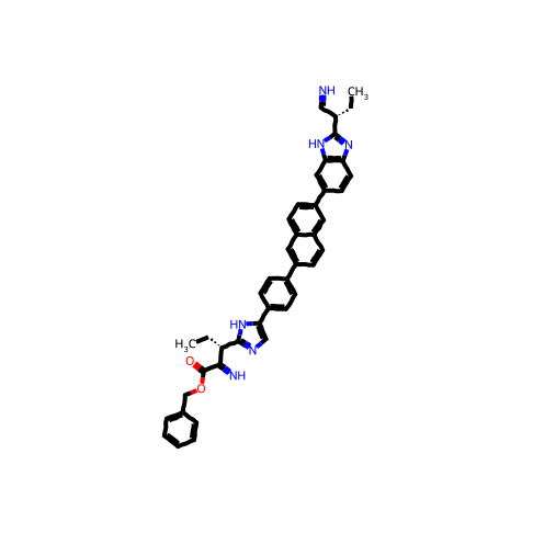 CC[C@@H](C=N)c1nc2ccc(-c3ccc4cc(-c5ccc(-c6cnc([C@@H](CC)C(=N)C(=O)OCc7ccccc7)[nH]6)cc5)ccc4c3)cc2[nH]1